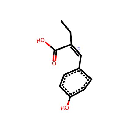 CC/C(=C/c1ccc(O)cc1)C(=O)O